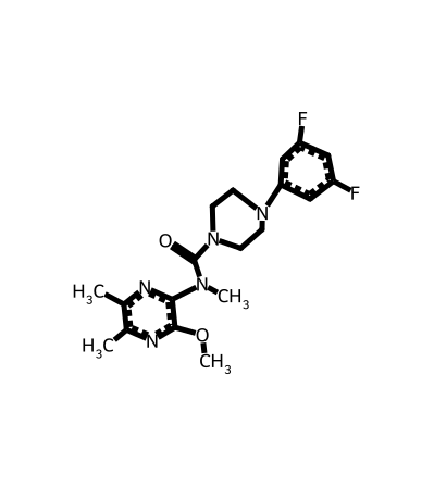 COc1nc(C)c(C)nc1N(C)C(=O)N1CCN(c2cc(F)cc(F)c2)CC1